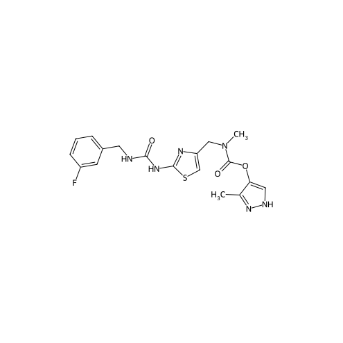 Cc1n[nH]cc1OC(=O)N(C)Cc1csc(NC(=O)NCc2cccc(F)c2)n1